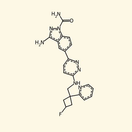 NC(=O)n1nc(N)c2cc(-c3ccc(NCC4(c5ccccn5)CC(F)C4)nn3)ccc21